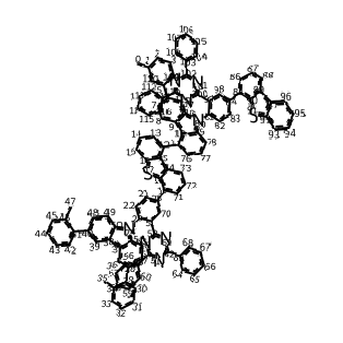 Cc1cccc(-c2ccc3c4c(-c5cccc6sc7c(-c8ccc(-n9c%10ccc(-c%11ccccc%11C)cc%10c%10cc(-c%11ccccc%11C)ccc%109)c(-c9nc(-c%10ccccc%10)nc(-c%10ccccc%10)n9)c8)cccc7c56)cccc4n(-c4ccc(-c5cccc6c5sc5ccccc56)cc4-c4nc(-c5ccccc5)nc(-c5ccccc5)n4)c3c2)c1